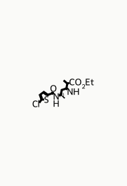 CCOC(=O)C(C)C(=N)C[C@@H](C)NC(=O)c1ccc(Cl)s1